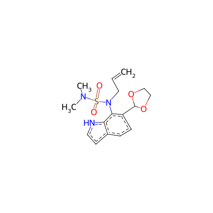 C=CCN(c1c(C2OCCO2)ccc2cc[nH]c12)S(=O)(=O)N(C)C